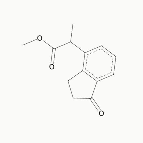 COC(=O)C(C)c1cccc2c1CCC2=O